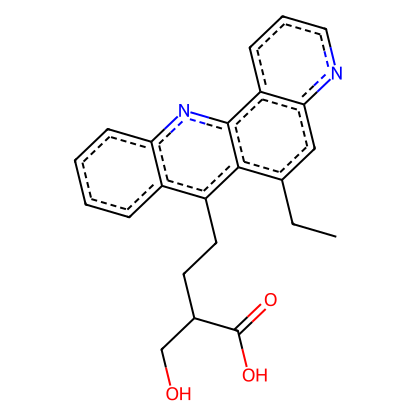 CCc1cc2ncccc2c2nc3ccccc3c(CCC(CO)C(=O)O)c12